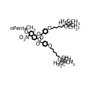 CCCCC[C@H](C)Oc1ccc2c(OC(=O)c3ccc(OCCCCCCO[Si](C)(C)[Si](C)(C)C)cc3)c(OC(=O)c3ccc(OCCCCCCO[Si](C)(C)[Si](C)(C)C)cc3)ccc2c1[N+](=O)[O-]